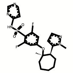 Cn1nccc1[C@H]1CCCCC[C@@]1(C)Oc1cc(F)c(S(=O)(=O)Nc2ccncn2)c(F)c1